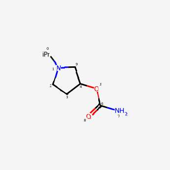 CC(C)N1CCC(OC(N)=O)C1